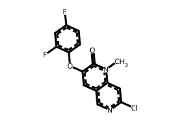 Cn1c(=O)c(Oc2ccc(F)cc2F)cc2cnc(Cl)cc21